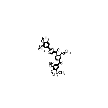 COCC1CN(C(=O)c2cc(OC)c(OC)c(OC)c2)CCN1C(=O)c1csc(-c2ccc(OC)c(OC)c2)n1